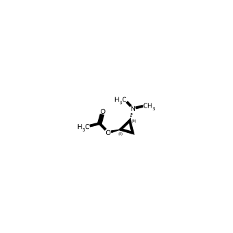 CC(=O)O[C@@H]1C[C@H]1N(C)C